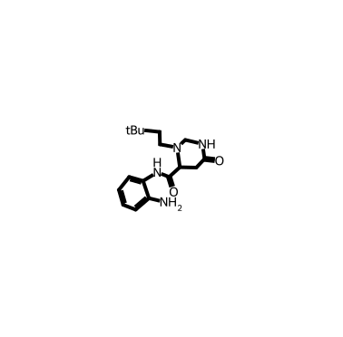 CC(C)(C)CCN1CNC(=O)CC1C(=O)Nc1ccccc1N